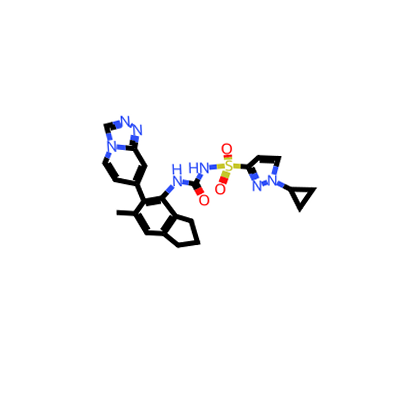 Cc1cc2c(c(NC(=O)NS(=O)(=O)c3ccn(C4CC4)n3)c1-c1ccn3cnnc3c1)CCC2